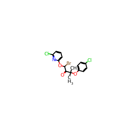 CC(C)(Oc1ccc(Cl)cc1)C(=O)C(Br)Oc1cccc(Cl)n1